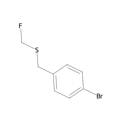 FCSCc1ccc(Br)cc1